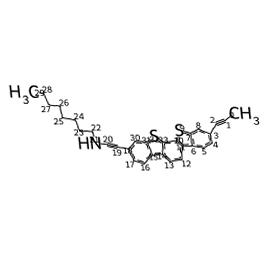 CC#Cc1ccc2c(c1)sc1c2ccc2c3ccc(C#CNCCCCCCCC)cc3sc21